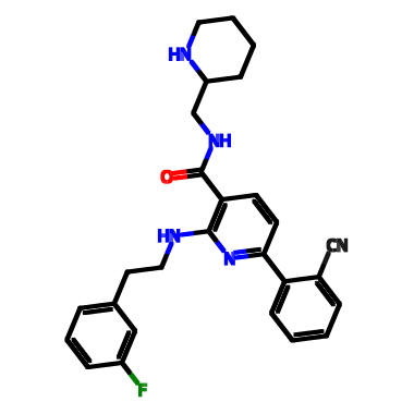 N#Cc1ccccc1-c1ccc(C(=O)NCC2CCCCN2)c(NCCc2cccc(F)c2)n1